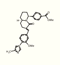 COC(=O)c1ccc([C@@H]2CCC[C@@H]3CC/C(=C\c4ccc(-n5cnc(C)c5)c(OC)c4)C(=O)N32)cc1